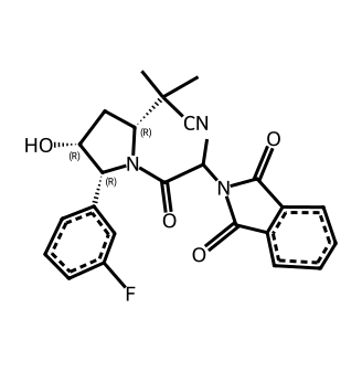 CC(C(=O)N1[C@H](c2cccc(F)c2)[C@H](O)C[C@@H]1C(C)(C)C#N)N1C(=O)c2ccccc2C1=O